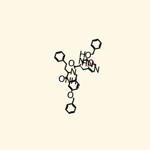 NC(=O)C(CCc1ccccc1)N(Cc1ccc(OCc2ccccc2)cc1)C(=O)[C@H](Cc1cnc[nH]1)NC(=O)OCc1ccccc1